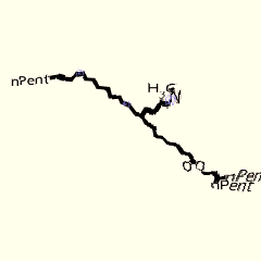 CCCCCC#CC/C=C\CCCCCC/C=C/CC(C=CC/C=N\C)CCCCCCCCC(=O)OCCC(CCCCC)CCCCC